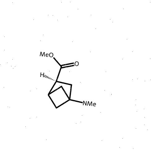 CNC12CC(C1)[C@@H](C(=O)OC)C2